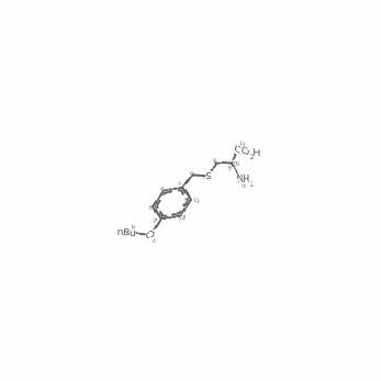 CCCCOc1ccc(CSC[C@H](N)C(=O)O)cc1